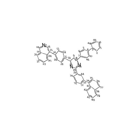 c1ccc(-c2ccc(-c3cc(-c4ccc(-c5cncc6ccccc56)cc4)nc(-c4cccc(-c5cccc6ccccc56)c4)n3)cc2)cc1